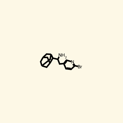 NC(Cc1ccc(Br)nc1)C1C2CC3CC(C2)CC1C3